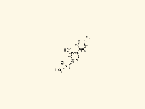 Cl.O=C(O)C1(Cl)CC1c1ccc(-c2ccc(F)cc2)nc1